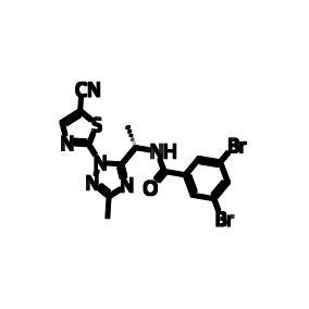 Cc1nc([C@H](C)NC(=O)c2cc(Br)cc(Br)c2)n(-c2ncc(C#N)s2)n1